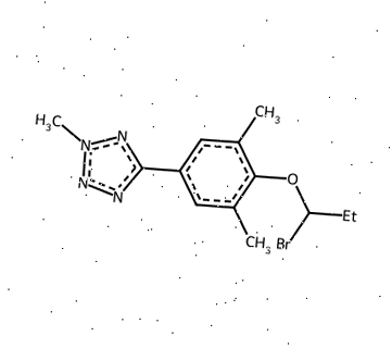 CCC(Br)Oc1c(C)cc(-c2nnn(C)n2)cc1C